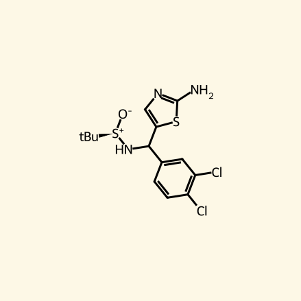 CC(C)(C)[S@@+]([O-])NC(c1ccc(Cl)c(Cl)c1)c1cnc(N)s1